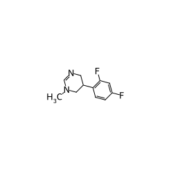 CN1C=NCC(c2ccc(F)cc2F)C1